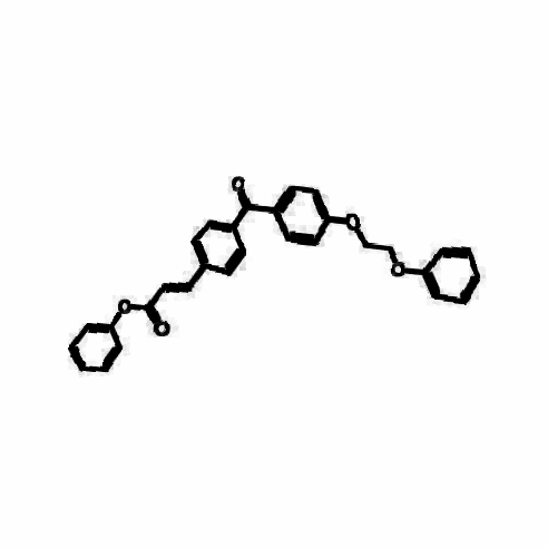 O=C(/C=C/c1ccc(C(=O)c2ccc(OCCOc3ccccc3)cc2)cc1)Oc1ccccc1